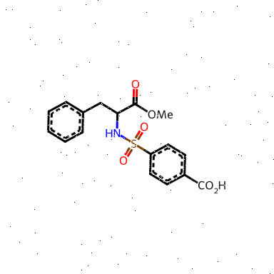 COC(=O)C(Cc1ccccc1)NS(=O)(=O)c1ccc(C(=O)O)cc1